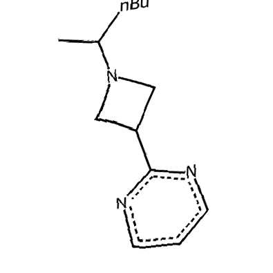 CCCCC(C)N1CC(c2ncccn2)C1